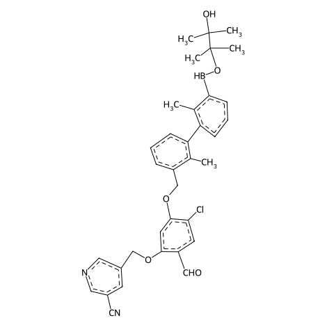 Cc1c(BOC(C)(C)C(C)(C)O)cccc1-c1cccc(COc2cc(OCc3cncc(C#N)c3)c(C=O)cc2Cl)c1C